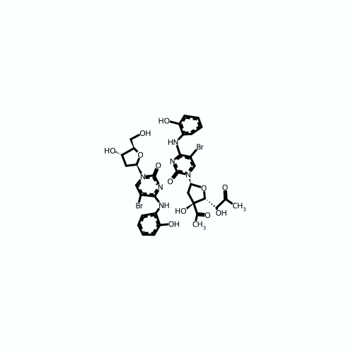 CC(=O)C(O)[C@H]1O[C@@H](n2cc(Br)c(Nc3ccccc3O)nc2=O)C[C@@]1(O)C(C)=O.O=c1nc(Nc2ccccc2O)c(Br)cn1[C@H]1C[C@H](O)[C@@H](CO)O1